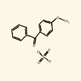 COc1ccc(C(=O)c2ccccc2)cc1.O=S(=O)(Cl)Cl